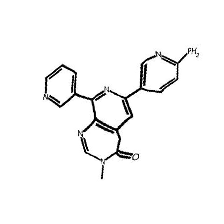 Cn1cnc2c(-c3cccnc3)nc(-c3ccc(P)nc3)cc2c1=O